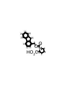 O=C(O)[C@@H]1CCCN1C(=O)OCc1cccc2c1Cc1ccccc1-2